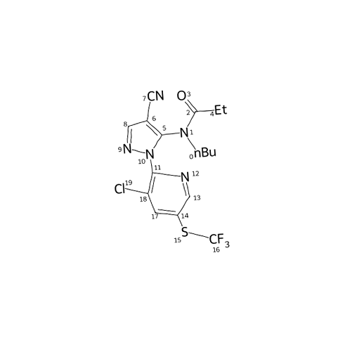 CCCCN(C(=O)CC)c1c(C#N)cnn1-c1ncc(SC(F)(F)F)cc1Cl